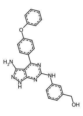 Nc1n[nH]c2nc(Nc3cccc(CO)c3)nc(-c3ccc(Oc4ccccc4)cc3)c12